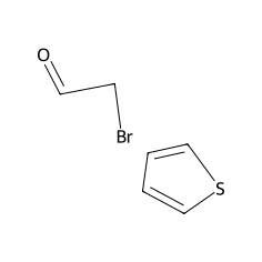 O=CCBr.c1ccsc1